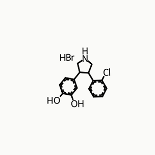 Br.Oc1ccc(C2CNCC2c2ccccc2Cl)cc1O